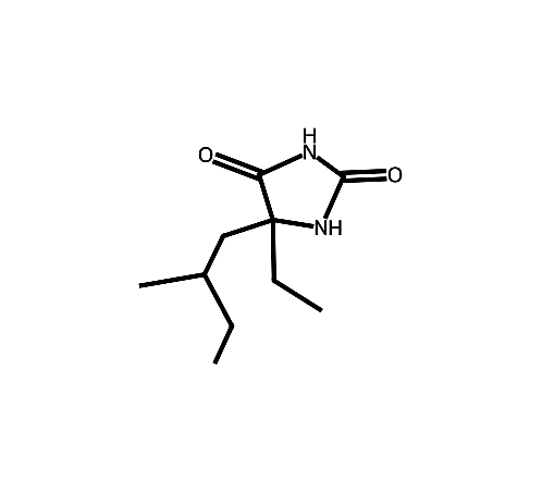 CCC(C)CC1(CC)NC(=O)NC1=O